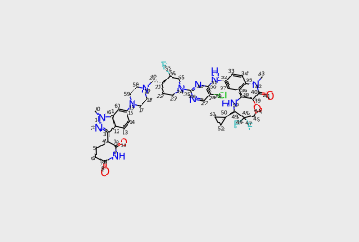 Cn1nc(C2CCC(=O)NC2=O)c2ccc(N3CCN(C[C@H]4CCN(c5ncc(Cl)c(Nc6ccc7c(c6)c6c(c(=O)n7C)OCC(F)(F)C(C7CC7)N6)n5)C[C@@H]4F)CC3)cc21